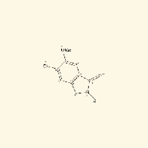 COc1cc2c(cc1Cl)CN(C)C2=O